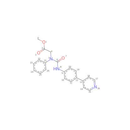 COC(=O)CN(C(=O)Nc1ccc(-c2ccncc2)cc1)c1ccccc1